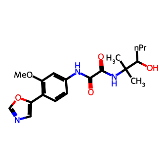 CCCC(O)C(C)(C)NC(=O)C(=O)Nc1ccc(-c2cnco2)c(OC)c1